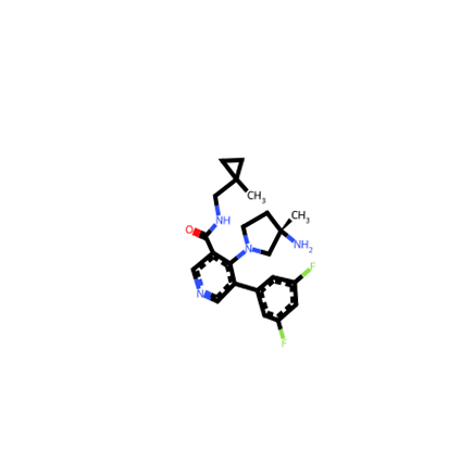 CC1(CNC(=O)c2cncc(-c3cc(F)cc(F)c3)c2N2CC[C@](C)(N)C2)CC1